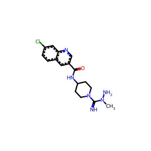 CN(N)C(=N)N1CCC(NC(=O)c2cnc3cc(Cl)ccc3c2)CC1